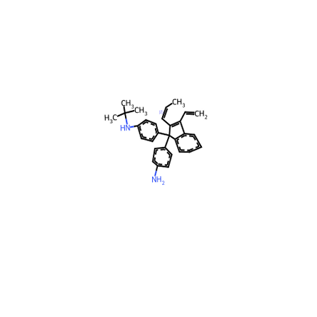 C=CC1=C(/C=C\C)C(c2ccc(N)cc2)(c2ccc(NC(C)(C)C)cc2)c2ccccc21